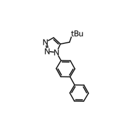 CC(C)(C)Cc1cnnn1-c1ccc(-c2ccccc2)cc1